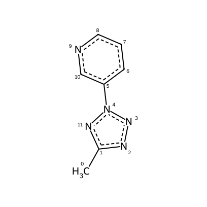 Cc1nnn(-c2cccnc2)n1